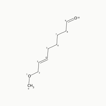 COCC=CCCCCC=O